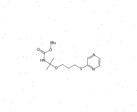 CC(C)(C)OC(=O)NC(C)(C)OCCCSc1cnccn1